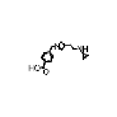 O=C(O)c1ccc(CN2CC(CCNC3CC3)C2)cc1